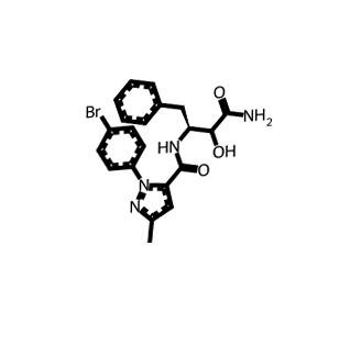 Cc1cc(C(=O)N[C@@H](Cc2ccccc2)C(O)C(N)=O)n(-c2ccc(Br)cc2)n1